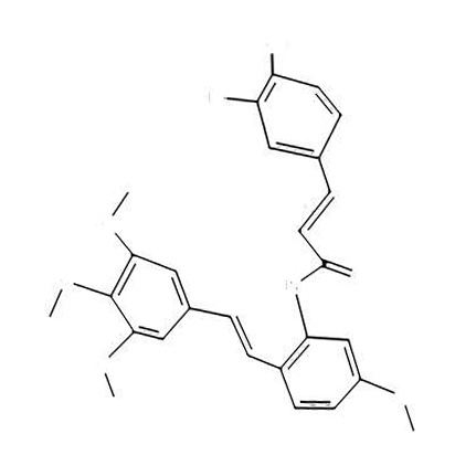 COc1ccc(C=Cc2cc(OC)c(OC)c(OC)c2)c(NC(=O)/C=C/c2ccc(O)c(O)c2)c1